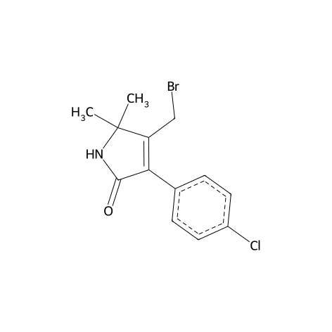 CC1(C)NC(=O)C(c2ccc(Cl)cc2)=C1CBr